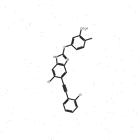 Cc1ccc(Oc2nc3cc(C#Cc4ccccc4Cl)c(Cl)cc3[nH]2)cc1C(=O)O